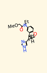 CCN(C(=O)COC)c1ccc2c(c1)[C@@H]1[C@H](CO2)[C@H]1c1c[nH]cn1